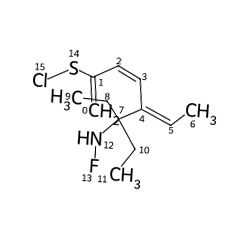 C=C(/C=C\C(=C/C)C(CC)(CC)NF)SCl